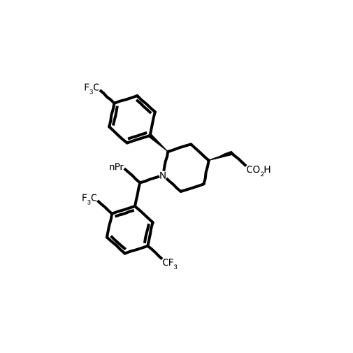 CCCC(c1cc(C(F)(F)F)ccc1C(F)(F)F)N1CC[C@H](CC(=O)O)C[C@@H]1c1ccc(C(F)(F)F)cc1